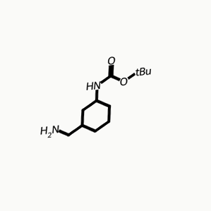 CC(C)(C)OC(=O)NC1CCCC(CN)C1